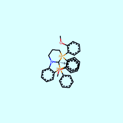 COc1ccccc1[PH]1(c2ccccc2OC)CCCN2c3ccccc3[PH](c3ccccc3)(c3ccccc3)[C@@H]21